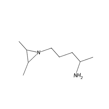 CC(N)CCCN1C(C)C1C